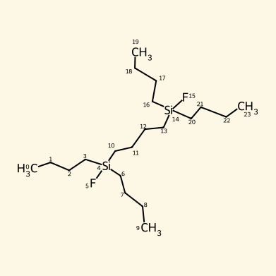 CCCC[Si](F)(CCCC)CCCC[Si](F)(CCCC)CCCC